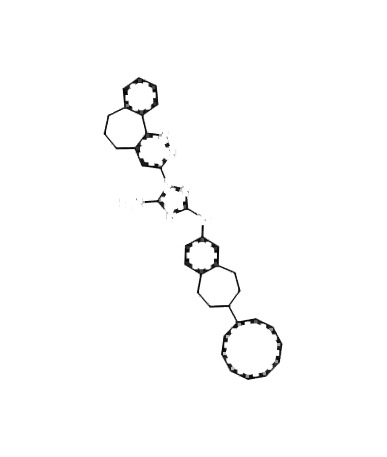 Nc1nc(Nc2ccc3c(c2)CCC(c2ccccccccc2)CC3)nn1-c1cc2c(nn1)-c1ccccc1CCC2